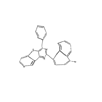 Brc1ccc(-c2nc(-c3ccccc3)c3sc4ccccc4c3n2)c2ccccc12